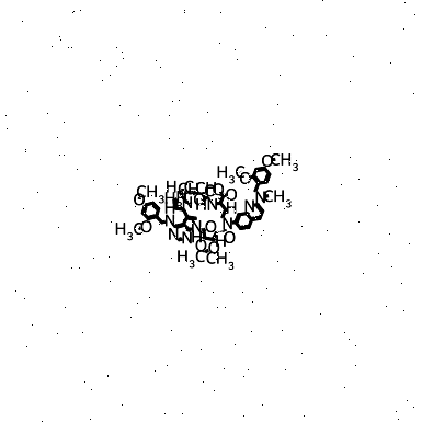 COc1ccc(CNc2ncnc3c2c(-c2ccn(C)n2)cn3[C@@H]2O[C@H](C(=O)N(CCC(NC(=O)OC(C)(C)C)C(=O)O)c3ccc4ccc(N(C)Cc5ccc(OC)cc5OC)nc4c3)[C@H]3OC(C)(C)O[C@H]32)c(OC)c1